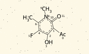 CC(=O)c1c(O)c(F)c(C)n(C)c1=O